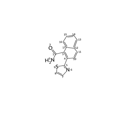 NC(=O)c1c(-c2nccs2)ccc2ccccc12